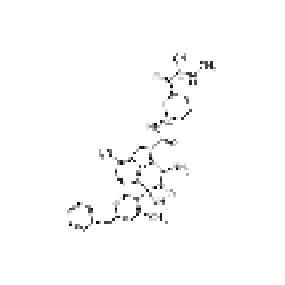 CN[C@@H](C)C(=O)N1CCC[C@@H](NC(=O)c2sc3c(N)ccc4c3c2C(N)C(=O)C4(N)c2ccc(Oc3ccccc3)cc2C)C1